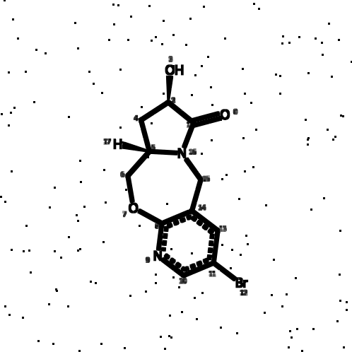 O=C1[C@H](O)C[C@H]2COc3ncc(Br)cc3CN12